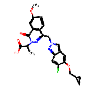 COc1ccc2c(Cn3cc4cc(OCC5CC5)c(Cl)cc4n3)nn(C(C)C(=O)O)c(=O)c2c1